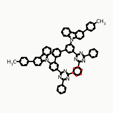 Cc1ccc(-c2ccc3c(c2)c2ccccc2n3-c2cc(-c3cccc(-c4cc(-c5nc(-c6ccccc6)nc(-c6ccccc6)n5)ccc4-n4c5ccccc5c5cc(-c6ccc(C)cc6)ccc54)c3)cc(-c3nc(-c4ccccc4)nc(-c4ccccc4)n3)c2)cc1